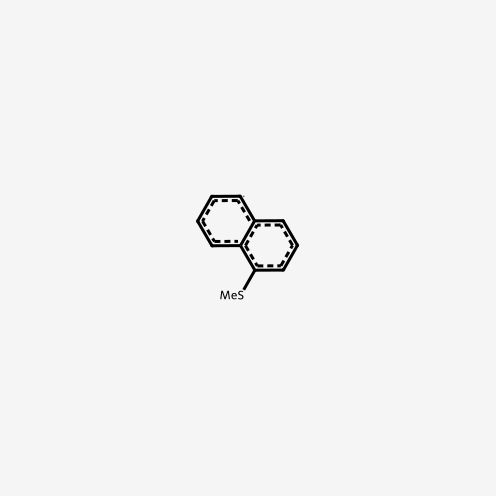 CSc1cccc2[c]cccc12